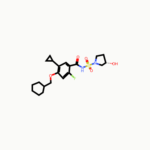 O=C(NS(=O)(=O)N1CC[C@H](O)C1)c1cc(C2CC2)c(OCC2CCCCC2)cc1F